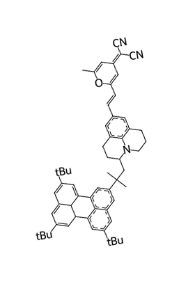 CC1=CC(=C(C#N)C#N)C=C(/C=C/c2cc3c4c(c2)CCC(CC(C)(C)c2cc5c6c(cc(C(C)(C)C)cc6c2)C2C=C(C(C)(C)C)C=C6C=C(C(C)(C)C)C=C5C62)N4CCC3)O1